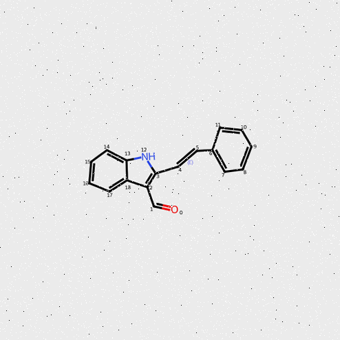 O=Cc1c(/C=C/c2ccccc2)[nH]c2ccccc12